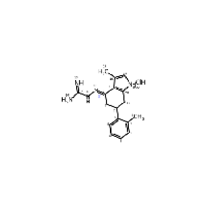 Cc1ccccc1C1C/C(=N\NC(=N)N)c2c(C)c[nH]c2C1.Cl